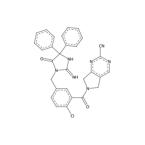 N#Cc1ncc2c(n1)CN(C(=O)c1cc(CN3C(=N)NC(c4ccccc4)(c4ccccc4)C3=O)ccc1Cl)C2